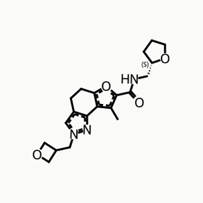 Cc1c(C(=O)NC[C@@H]2CCCO2)oc2c1-c1nn(CC3COC3)cc1CC2